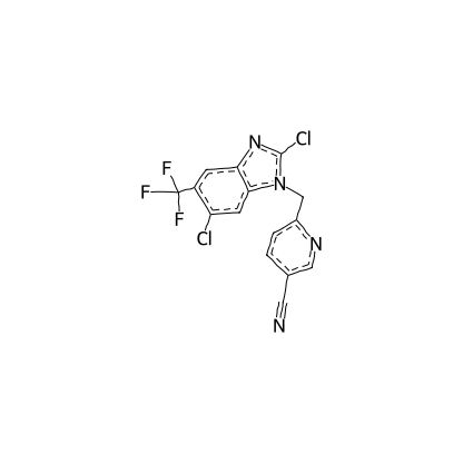 N#Cc1ccc(Cn2c(Cl)nc3cc(C(F)(F)F)c(Cl)cc32)nc1